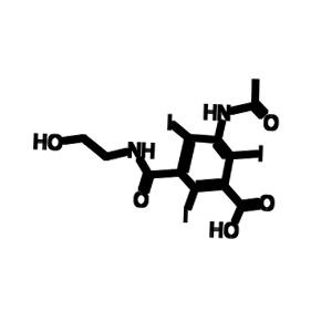 CC(=O)Nc1c(I)c(C(=O)O)c(I)c(C(=O)NCCO)c1I